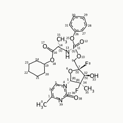 Cc1ccn([C@@H]2O[C@](F)(CO[P@@](=O)(N[C@@H](C)C(=O)OC3CCCCC3)Oc3ccccc3)[C@@H](O)[C@@]2(C)F)c(=O)n1